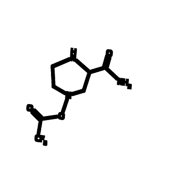 NC(=O)C1CN(OC(=O)C(F)(F)F)CCN1